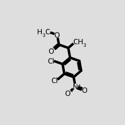 COC(=O)C(C)c1ccc([N+](=O)[O-])c(Cl)c1Cl